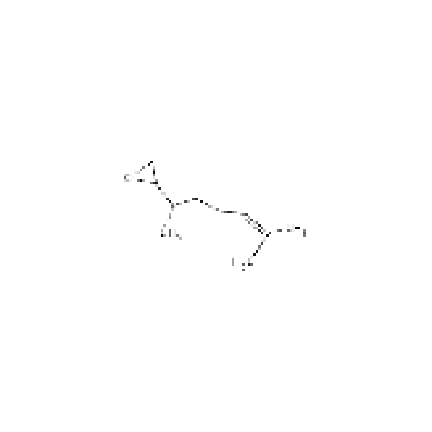 CC(C)=CCC[C@H](C)C1CO1